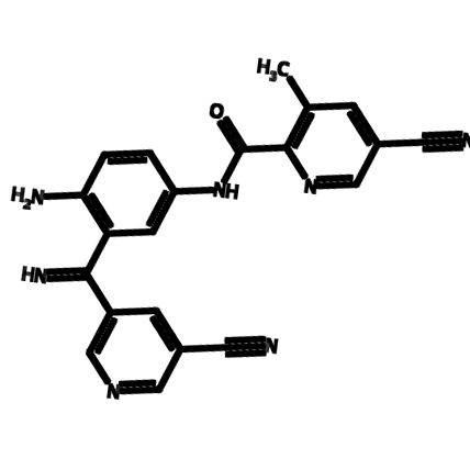 Cc1cc(C#N)cnc1C(=O)Nc1ccc(N)c(C(=N)c2cncc(C#N)c2)c1